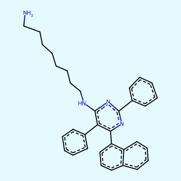 NCCCCCCCCNc1nc(-c2ccccc2)nc(-c2cccc3ccccc23)c1-c1ccccc1